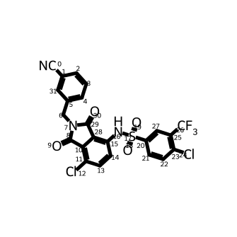 N#Cc1cccc(CN2C(=O)c3c(Cl)ccc(NS(=O)(=O)c4ccc(Cl)c(C(F)(F)F)c4)c3C2=O)c1